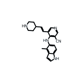 Cc1c(Nc2c(C#N)cncc2C=CC2CCNCC2)ccc2[nH]ccc12